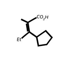 CC/C(=C(\C)C(=O)O)C1CCCC1